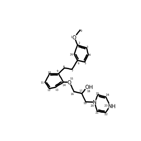 COc1cccc(CCc2ccccc2OCC(O)CN2C=CNC=C2)c1